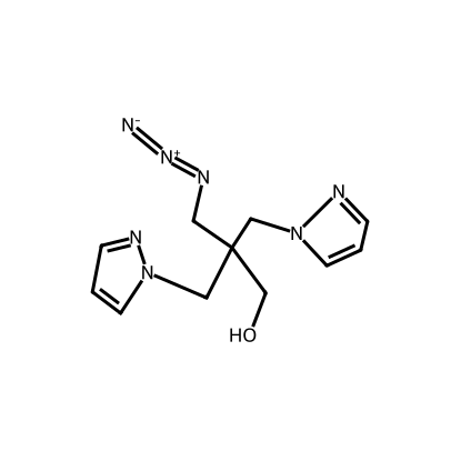 [N-]=[N+]=NCC(CO)(Cn1cccn1)Cn1cccn1